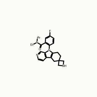 CCN(C(=O)c1cc(F)ccc1-n1c2c(c3ccncc31)CC1(CC2)CNC1)C(C)C